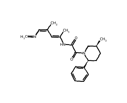 C=N/C=C(C)\C=C(/C)NC(=O)C(=O)N1C[C@@H](C)CC[C@H]1c1ccccc1